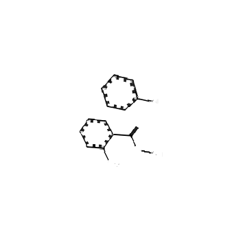 COc1ccccc1C(=O)ON.Nc1ccccc1